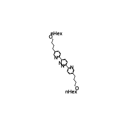 CCCCCCOCCCCc1ccc(-c2ccc(-c3ccc(CCCCOCCCCCC)cn3)nn2)nc1